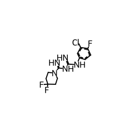 N=C(NC(=N)N1CCC(F)(F)CC1)Nc1ccc(F)c(Cl)c1